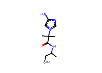 COCC(C)NC(=O)C(C)(C)n1cnc(N)c1